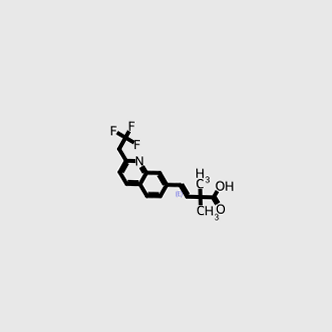 CC(C)(/C=C/c1ccc2ccc(CC(F)(F)F)nc2c1)C(=O)O